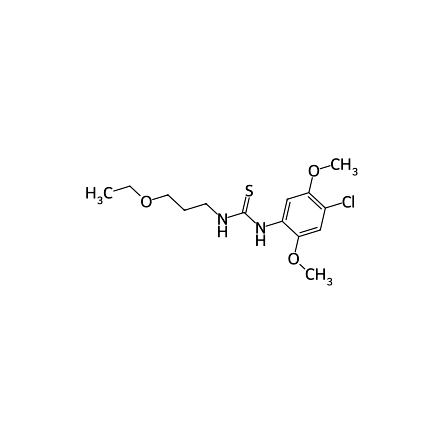 CCOCCCNC(=S)Nc1cc(OC)c(Cl)cc1OC